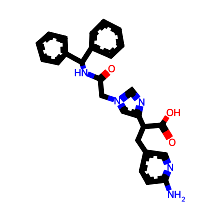 Nc1ccc(CC(C(=O)O)c2cn(CC(=O)NC(c3ccccc3)c3ccccc3)cn2)cn1